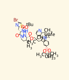 CCn1c(-c2cccnc2[C@H](C)OC)c(CC(C)(C)COC(=O)[C@H]2NN(C(=O)[C@H](Cc3nc(Br)cs3)NC(=O)OC(C)(C)C)CC[C@@H]2C)c2cc(B3OC(C)(C)C(C)(C)O3)ccc21